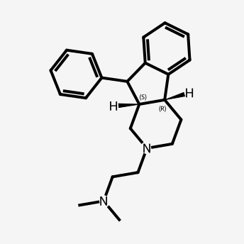 CN(C)CCN1CC[C@H]2c3ccccc3C(c3ccccc3)[C@H]2C1